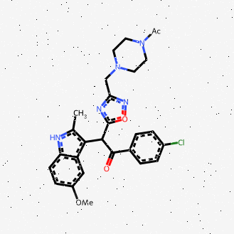 COc1ccc2[nH]c(C)c(C(C(=O)c3ccc(Cl)cc3)c3nc(CN4CCN(C(C)=O)CC4)no3)c2c1